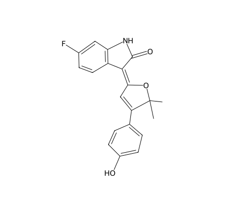 CC1(C)O/C(=C2\C(=O)Nc3cc(F)ccc32)C=C1c1ccc(O)cc1